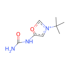 CC(C)(C)[n+]1coc(NC(N)=O)c1